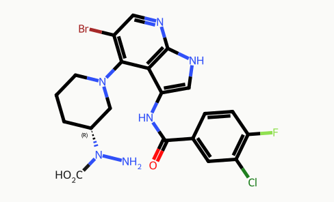 NN(C(=O)O)[C@@H]1CCCN(c2c(Br)cnc3[nH]cc(NC(=O)c4ccc(F)c(Cl)c4)c23)C1